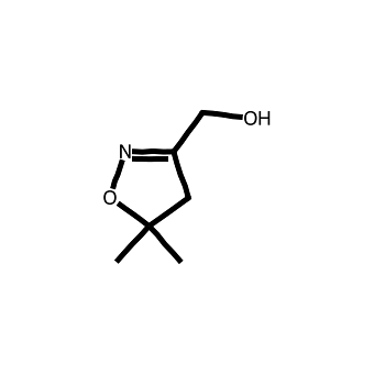 CC1(C)CC(CO)=NO1